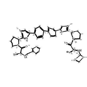 CC(C)[C@H](NC1C=CC=NC1)C(=O)N1CCC[C@H]1c1ncc(-c2ccc(-c3ccc(-c4cnc([C@@H]5CCCN5C(=O)[C@@H](NC5OCO5)C(C)C)[nH]4)cc3)cc2)[nH]1